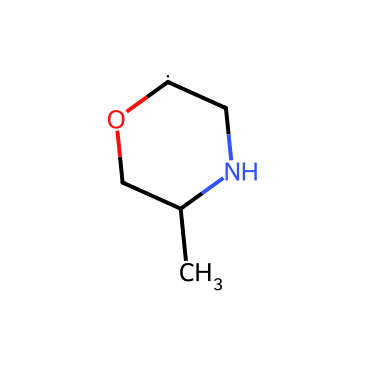 CC1CO[CH]CN1